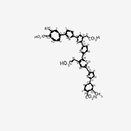 CCc1cc(-c2ccc(-c3cc(CC(=O)O)c(-c4ccc(-c5sc(-c6ccc(-c7ccc(C(=O)O)c(C)c7)s6)cc5CC(=O)O)s4)s3)s2)ccc1C(=O)O